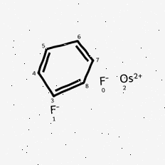 [F-].[F-].[Os+2].c1ccccc1